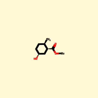 CCC(C)OC(=O)[C@@H]1C[C@H](O)CC[C@H]1C